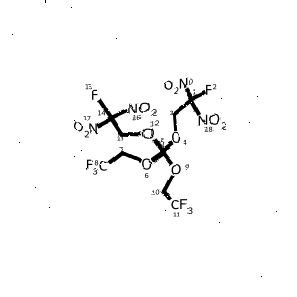 O=[N+]([O-])C(F)(COC(OCC(F)(F)F)(OCC(F)(F)F)OCC(F)([N+](=O)[O-])[N+](=O)[O-])[N+](=O)[O-]